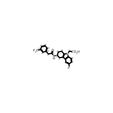 O=C(O)Cn1c2c(c3cc(F)ccc31)C[C@@H](NC(=O)Cc1cccc(C(F)(F)F)c1)CC2